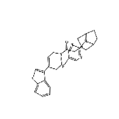 O=C(CN1CC2CCC(C1)N2c1ncc(F)cn1)N1CC=C(c2csc3ccccc23)CC1